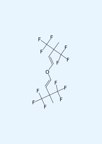 CC(C=COC=CC(C)(C(F)(F)F)C(F)(F)F)(C(F)(F)F)C(F)(F)F